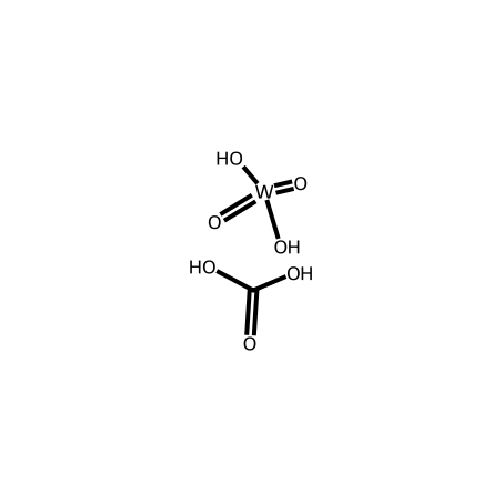 O=C(O)O.[O]=[W](=[O])([OH])[OH]